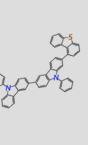 c1ccc(-n2c3ccccc3c3cc(-c4ccc5c(c4)c4ccc(-c6cccc7sc8ccccc8c67)cc4n5-c4ccccc4)ccc32)cc1